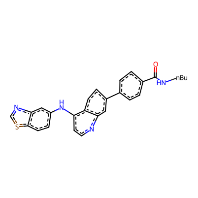 CCCCNC(=O)c1ccc(-c2ccc3c(Nc4ccc5scnc5c4)ccnc3c2)cc1